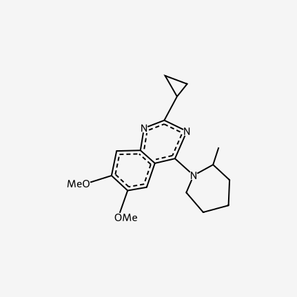 COc1cc2nc(C3CC3)nc(N3CCCCC3C)c2cc1OC